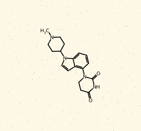 CN1CCC(n2ccc3c(N4CCC(=O)NC4=O)cccc32)CC1